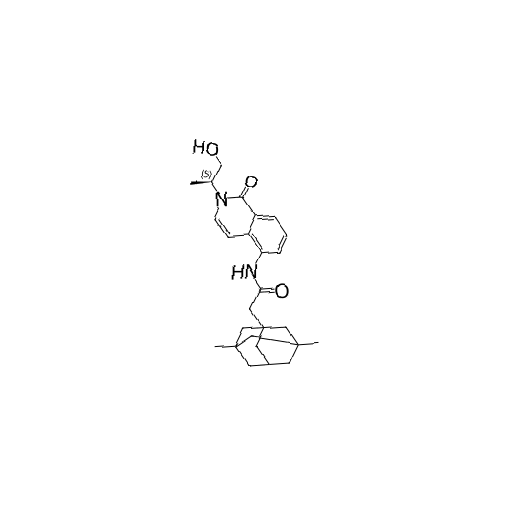 C[C@@H](CO)n1ccc2c(NC(=O)CC34CC5CC(C)(CC(C)(C5)C3)C4)cccc2c1=O